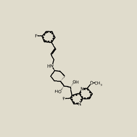 COc1ccc2ncc(F)c([C@@H](O)[C@H](O)[C@H]3CC[C@H](NCC=Cc4cccc(F)c4)CC3)c2n1